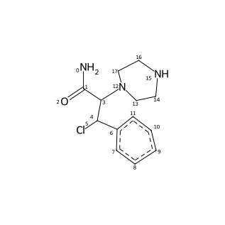 NC(=O)C(C(Cl)c1ccccc1)N1CCNCC1